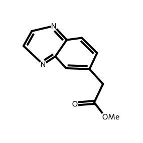 COC(=O)Cc1ccc2nccnc2c1